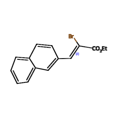 CCOC(=O)/C(Br)=C/c1ccc2ccccc2c1